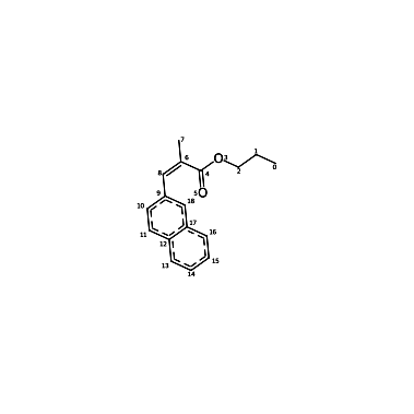 CCCOC(=O)C(C)=Cc1ccc2ccccc2c1